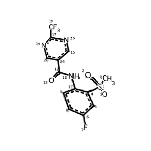 CS(=O)(=O)c1cc(F)ccc1NC(=O)c1cnc(C(F)(F)F)nc1